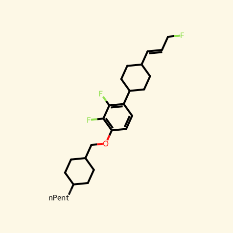 CCCCCC1CCC(COc2ccc(C3CCC(/C=C/CF)CC3)c(F)c2F)CC1